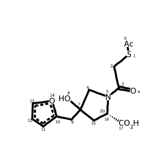 CC(=O)SCC(=O)N1CC(O)(Cc2ccco2)C[C@H]1C(=O)O